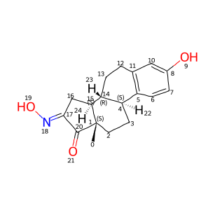 C[C@]12CC[C@@H]3c4ccc(O)cc4CC[C@H]3[C@@H]1CC(=NO)C2=O